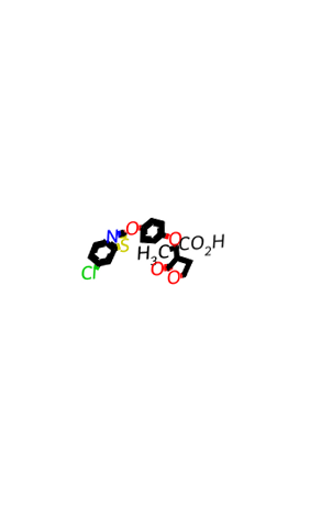 CC(Oc1ccc(Oc2nc3ccc(Cl)cc3s2)cc1)(C(=O)O)C1CCOC1=O